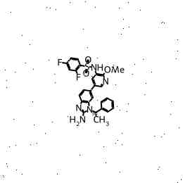 COc1ncc(-c2ccc3nc(N)n([C@H](C)c4ccccc4)c3c2)cc1NS(=O)(=O)c1ccc(F)cc1F